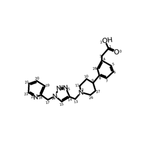 O=C(O)Cc1cccc(C2CCN(Cc3cn(Cc4ccccn4)nn3)CC2)c1